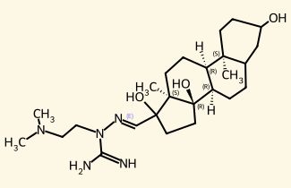 CN(C)CCN(/N=C/C1(O)CC[C@@]2(O)[C@@H]3CCC4CC(O)CC[C@]4(C)[C@@H]3CC[C@]12C)C(=N)N